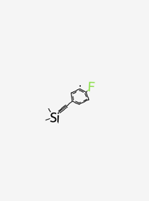 C[Si](C)(C)C#Cc1c[c]c(F)cc1